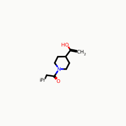 C=C(O)C1CCN(C(=O)CC(C)C)CC1